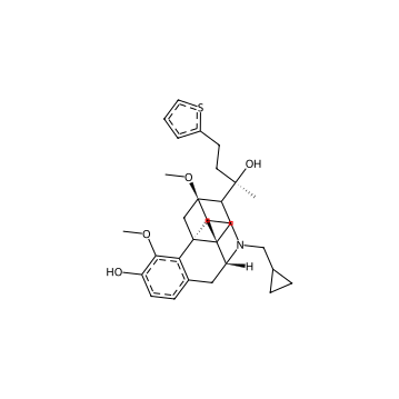 COc1c(O)ccc2c1[C@]13CCN(CC4CC4)[C@H](C2)[C@]12CC[C@](OC)(C3)C([C@](C)(O)CCc1cccs1)C2